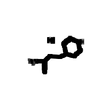 Cl.NC(=O)CCN1CCNCC1